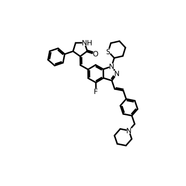 O=C1NCC(c2ccccc2)C1=Cc1cc(F)c2c(/C=C/c3ccc(CN4CCCCC4)cc3)nn(C3CCCCS3)c2c1